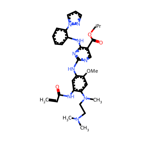 C=CC(=O)Nc1cc(Nc2ncc(C(=O)OC(C)C)c(Nc3ccccc3-n3cccn3)n2)c(OC)cc1N(C)CCN(C)C